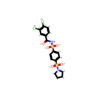 O=C(NS(=O)(=O)c1ccc(S(=O)(=O)N2CCCC2)cc1)c1ccc(Cl)c(Cl)c1